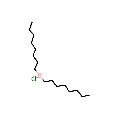 CCCCCCCC[B+]CCCCCCCC.[Cl-]